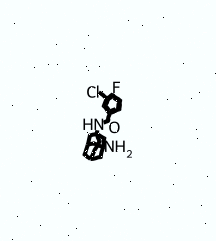 NC12CC3CC(C1)CC(NC(=O)c1ccc(F)c(Cl)c1)(C3)C2